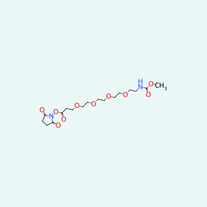 COC(=O)NCCOCCOCCOCCOCCC(=O)ON1C(=O)CCC1=O